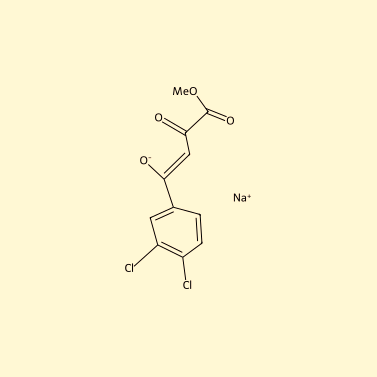 COC(=O)C(=O)C=C([O-])c1ccc(Cl)c(Cl)c1.[Na+]